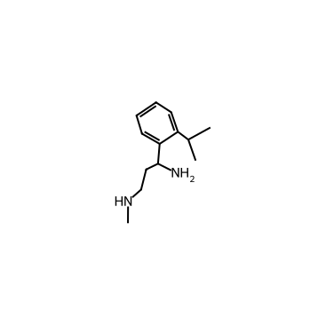 CNCCC(N)c1ccccc1C(C)C